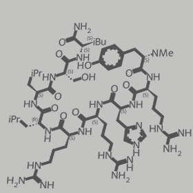 CC[C@H](C)[C@H](NC(=O)[C@H](CO)NC(=O)[C@H](CC(C)C)NC(=O)[C@@H](CC(C)C)NC(=O)[C@H](CCCNC(=N)N)NC(=O)[C@H](CCCNC(=N)N)NC(=O)[C@H](Cc1c[nH]cn1)NC(=O)[C@H](CCCNC(=N)N)NC(=O)[C@H](Cc1ccc(O)cc1)NC)C(N)=O